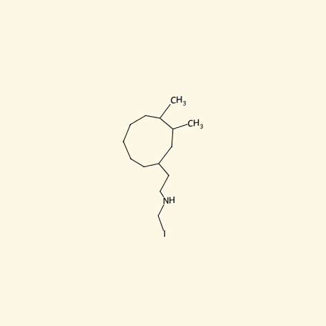 CC1CCCCCC(CCNCI)CC1C